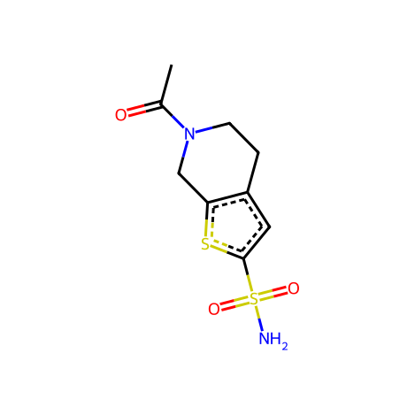 CC(=O)N1CCc2cc(S(N)(=O)=O)sc2C1